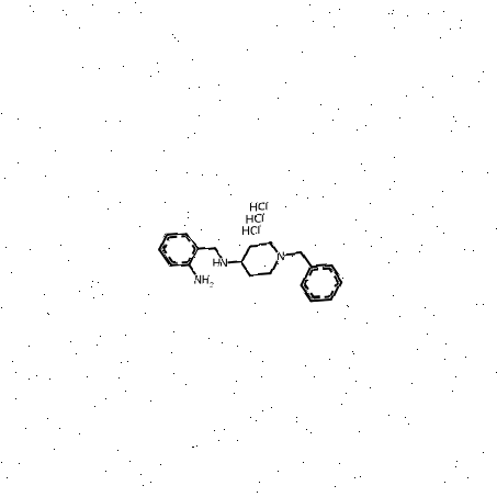 Cl.Cl.Cl.Nc1ccccc1CNC1CCN(Cc2ccccc2)CC1